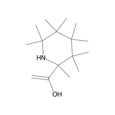 C=C(O)C1(C)NC(C)(C)C(C)(C)C(C)(C)C1(C)C